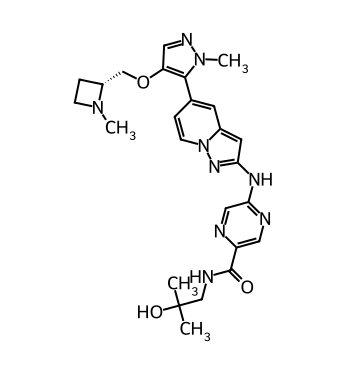 CN1CC[C@@H]1COc1cnn(C)c1-c1ccn2nc(Nc3cnc(C(=O)NCC(C)(C)O)cn3)cc2c1